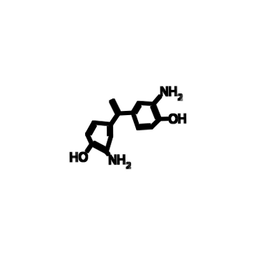 C=C(c1ccc(O)c(N)c1)c1ccc(O)c(N)c1